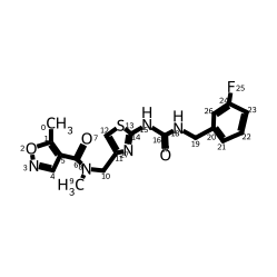 Cc1oncc1C(=O)N(C)Cc1csc(NC(=O)NCc2cccc(F)c2)n1